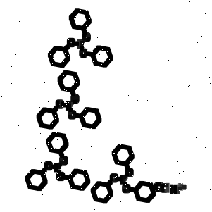 C1CCC(OP(OC2CCCCC2)OC2CCCCC2)CC1.C1CCC(OP(OC2CCCCC2)OC2CCCCC2)CC1.C1CCC(OP(OC2CCCCC2)OC2CCCCC2)CC1.C1CCC(OP(OC2CCCCC2)OC2CCCCC2)CC1.[Cl-].[Cl-].[Ni+2]